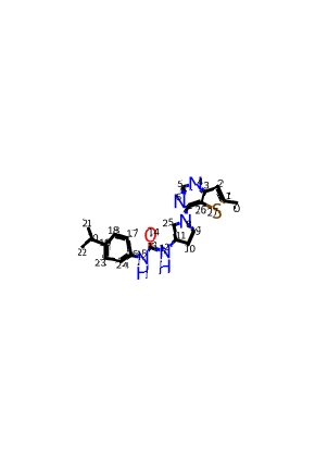 Cc1cc2ncnc(N3CCC(NC(=O)Nc4ccc(C(C)C)cc4)C3)c2s1